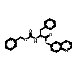 O=C(N[C@@H](Cc1ccccc1)C(=O)Nc1ccc2ncccc2c1)OCc1ccccc1